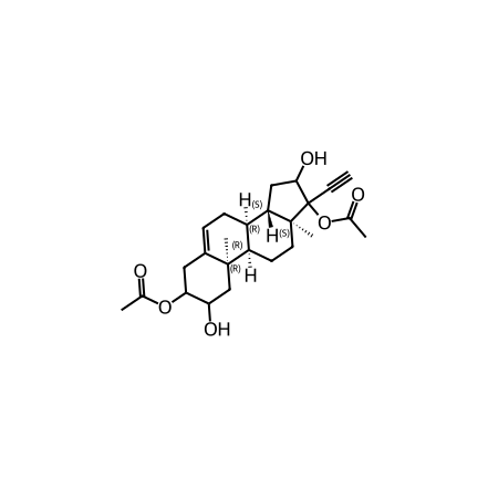 C#CC1(OC(C)=O)C(O)C[C@H]2[C@@H]3CC=C4CC(OC(C)=O)C(O)C[C@]4(C)[C@@H]3CC[C@@]21C